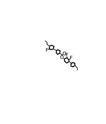 CCCc1ccc(-c2ccc(C(=O)Oc3ccc(-c4ccc(CC)cc4)c(F)c3F)cc2)cc1F